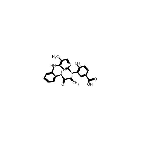 C=CC(=O)Nc1ccccc1Nc1nc(Nc2cc(C(=O)O)ccc2C)ncc1C